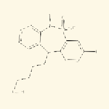 CN1c2ccccc2C(CCCCC(=O)O)c2ccc(I)cc2S1(=O)=O